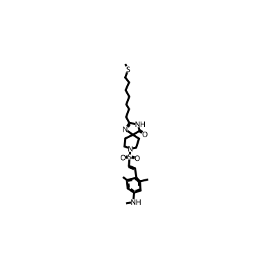 CNc1cc(C)c(/C=C/S(=O)(=O)N2CCC3(CC2)N=C(CCCCCCCSC)NC3=O)c(C)c1